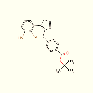 CC(C)(C)OC(=O)c1ccc(CC2=C(c3cccc(S)c3S)CC=C2)cc1